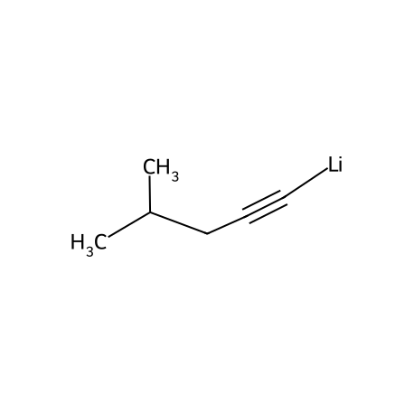 [Li][C]#CCC(C)C